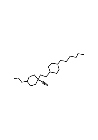 CCCCCCC1CCC(CCC2(C#N)CCC(CCC)CC2)CC1